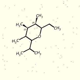 CCC1OC(C(C)C)C(C)[C@@H](C)[C@H]1C